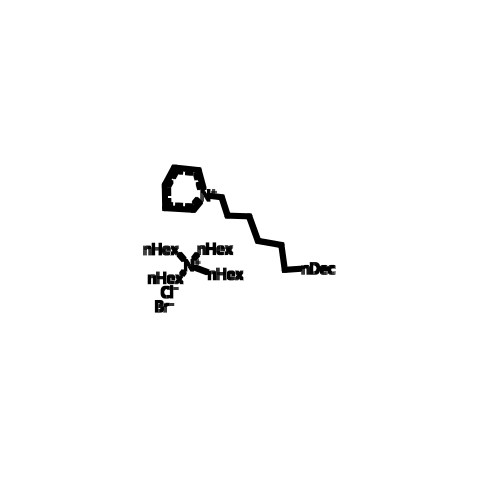 CCCCCCCCCCCCCCCC[n+]1ccccc1.CCCCCC[N+](CCCCCC)(CCCCCC)CCCCCC.[Br-].[Cl-]